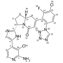 Nc1nccc(-c2cnc([C@@H]3CC[C@@H]4CC(c5c(-n6cnnn6)ccc(Cl)c5F)=CC(=O)N43)[nH]2)c1Cl